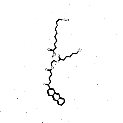 CCCCCCCC/C=C\CCCCCCCC(=O)OC[C@@H](COC(=O)CCCC(=O)c1ccc2cc3ccccc3cc2c1)OC(=O)CCCCCBr